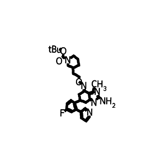 Cc1nc(N)nc2c1/C(=N/OCCC1CCCN(C(=O)OC(C)(C)C)C1)CC(c1ccc(F)cc1-c1cccnc1)C2